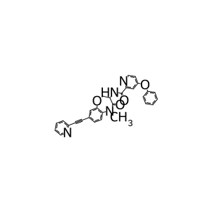 CN1C(=O)C(NC(=O)c2cc(Oc3ccccc3)ccn2)COc2cc(C#Cc3ccccn3)ccc21